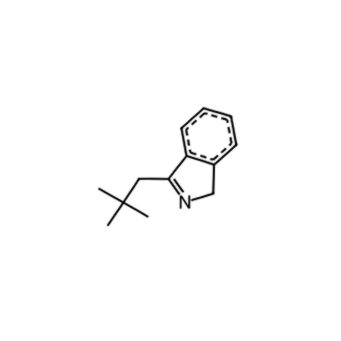 CC(C)(C)CC1=NCc2ccccc21